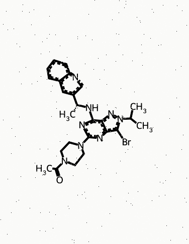 CC(=O)N1CCN(c2nc(N[C@H](C)c3cnc4ccccc4c3)c3nn(C(C)C)c(Br)c3n2)CC1